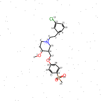 COC1CCN(CCc2cccc(Cl)c2)CC1COc1ccc(S(C)(=O)=O)cc1